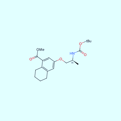 COC(=O)c1cc(OC[C@H](C)NC(=O)OC(C)(C)C)cc2c1CCCC2